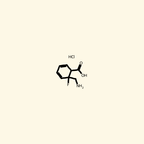 Cl.NCC1(F)C=CC=CC1C(=O)O